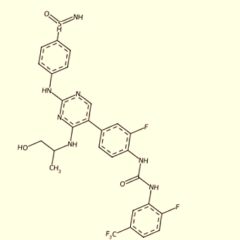 CC(CO)Nc1nc(Nc2ccc([SH](=N)=O)cc2)ncc1-c1ccc(NC(=O)Nc2cc(C(F)(F)F)ccc2F)c(F)c1